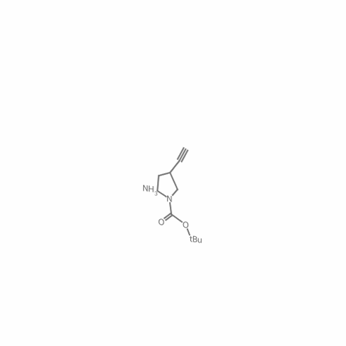 C#CC1CCN(C(=O)OC(C)(C)C)C1.N